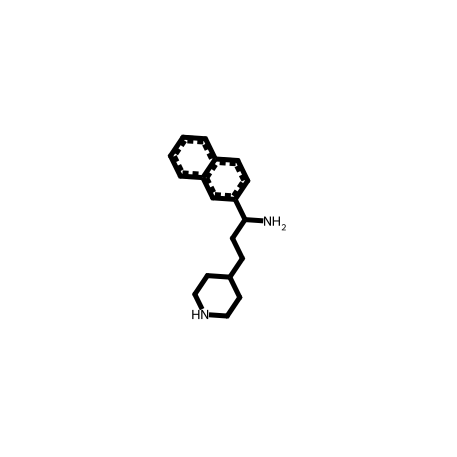 NC(CCC1CCNCC1)c1ccc2ccccc2c1